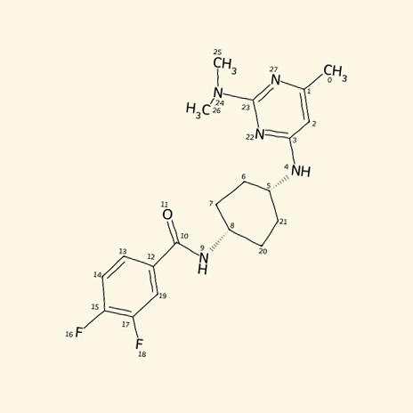 Cc1cc(N[C@H]2CC[C@@H](NC(=O)c3ccc(F)c(F)c3)CC2)nc(N(C)C)n1